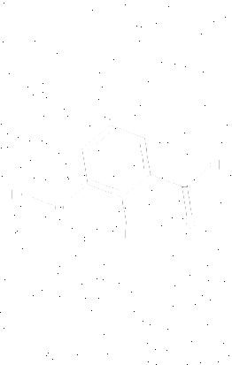 COc1cccc(C(=O)Cl)c1F